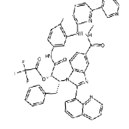 CNC(=O)c1ccc2c(c1)nc(-c1cccc3cccnc13)n2[C@H](Cc1ccccc1)[C@H](OC(=O)C(F)(F)F)C(=O)Nc1ccc(C)c(Nc2nccc(-c3cccnc3)n2)c1